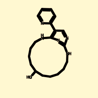 OC1CCCCCNc2ncc(-c3ccccn3)c(n2)NCCCC1